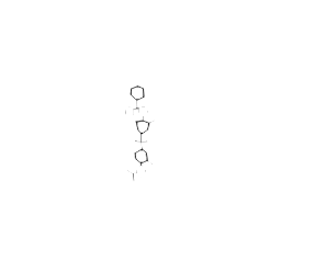 Cc1cc(C(C)(C)c2ccc(OC(C)C)c(C)c2)ccc1OC(=O)c1ccccc1